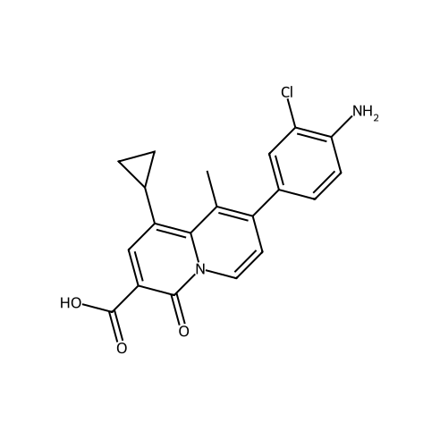 Cc1c(-c2ccc(N)c(Cl)c2)ccn2c(=O)c(C(=O)O)cc(C3CC3)c12